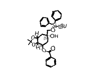 CC1(C)O[C@H]2[C@H](OC(=O)c3ccccc3)C[C@](O)(CO[Si](c3ccccc3)(c3ccccc3)C(C)(C)C)C[C@H]2O1